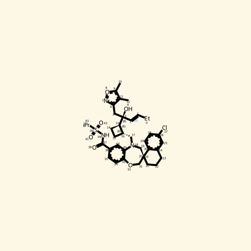 CC/C=C/[C@@](O)(Cc1noc(C)c1C)[C@@H]1CC[C@H]1CN1C[C@@]2(CCCc3cc(Cl)ccc32)COc2ccc(C(=O)NS(=O)(=O)C(C)C)cc21